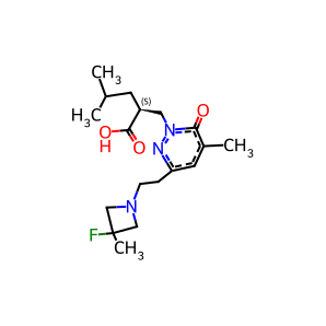 Cc1cc(CCN2CC(C)(F)C2)nn(C[C@H](CC(C)C)C(=O)O)c1=O